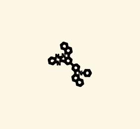 c1ccc(-n2c3ccc(-c4cc5c6ccc7ccccc7c6n6c7nc8ccccc8nc7c(c4)c56)cc3c3ccc4ccccc4c32)cc1